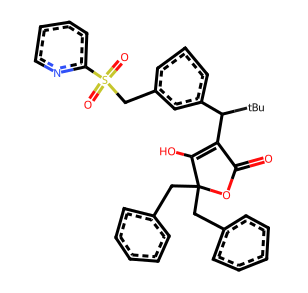 CC(C)(C)C(C1=C(O)C(Cc2ccccc2)(Cc2ccccc2)OC1=O)c1cccc(CS(=O)(=O)c2ccccn2)c1